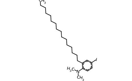 CCCCCCCCCCCCCCCCc1cc(I)ccc1N(C)C